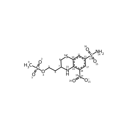 CS(=O)(=O)OCCC1CSc2cc(S(N)(=O)=O)cc([N+](=O)[O-])c2N1